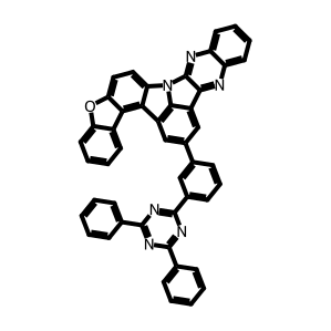 c1ccc(-c2nc(-c3ccccc3)nc(-c3cccc(-c4cc5c6nc7ccccc7nc6n6c7ccc8oc9ccccc9c8c7c(c4)c56)c3)n2)cc1